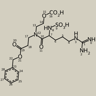 N=C(N)NCCCC(NS(=O)(=O)O)C(=O)N(CCOC(=O)O)CCC(=O)OCc1ccccc1